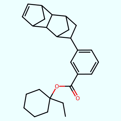 CCC1(OC(=O)c2cccc(C3CC4CC3C3C5C=CC(C5)C43)c2)CCCCC1